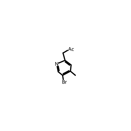 CC(=O)Cc1cc(C)c(Br)cn1